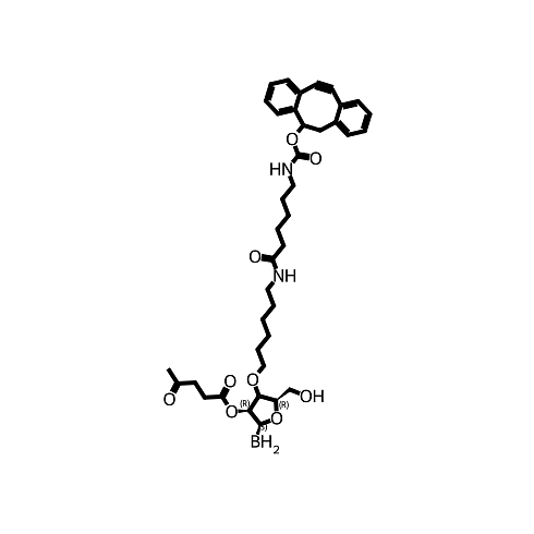 B[C@@H]1O[C@H](CO)C(OCCCCCCNC(=O)CCCCCNC(=O)OC2Cc3ccccc3C#Cc3ccccc32)[C@@H]1OC(=O)CCC(C)=O